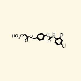 O=C(O)CC(=O)OCc1ccc(OC(=O)Nc2ccc(Cl)cc2Cl)cc1